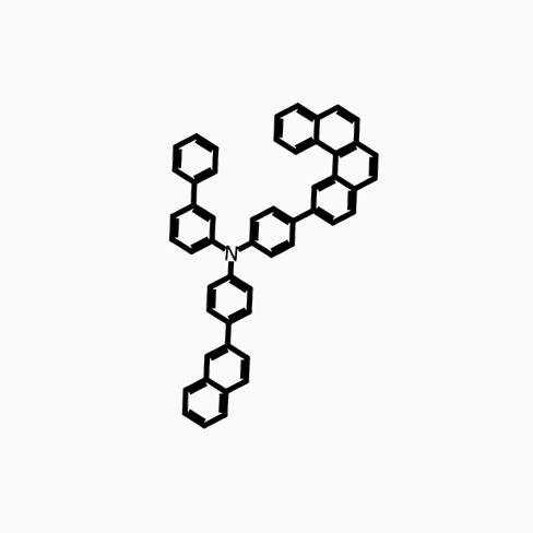 c1ccc(-c2cccc(N(c3ccc(-c4ccc5ccccc5c4)cc3)c3ccc(-c4ccc5ccc6ccc7ccccc7c6c5c4)cc3)c2)cc1